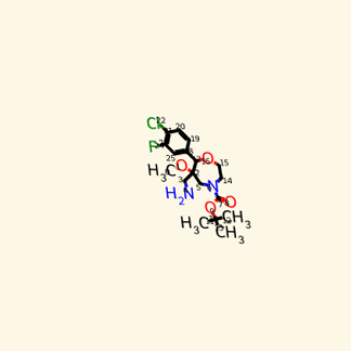 COC1(CN)CN(C(=O)OC(C)(C)C)CCOC1c1ccc(Cl)c(F)c1